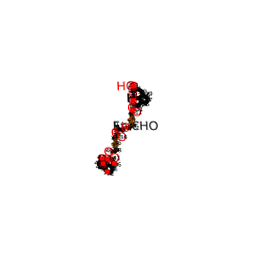 CCC(COCC(C=O)SSCC(=O)O[C@@H]1O[C@H]2OC(C)(OO)CCC3C2C(CC[C@@H]3C)[C@@H]1C)OC(=O)CSSCC(=O)O[C@H]1O[C@@H]2OC3(C)CCC4CCCC([C@H]1C)[C@]42O3